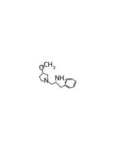 CO[C@@H]1CCN(C[C@H](N)Cc2ccccc2)C1